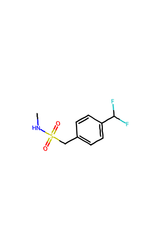 CNS(=O)(=O)Cc1ccc(C(F)F)cc1